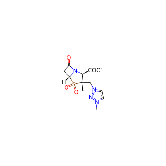 C[n+]1ccn(C[C@@]2(C)[C@H](C(=O)[O-])N3C(=O)C[C@H]3S2(=O)=O)n1